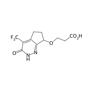 O=C(O)CCOC1CCc2c1n[nH]c(=O)c2C(F)(F)F